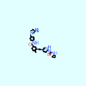 Cc1ccc(C(=O)Nc2ccc(CN3CCC(N(C)C)C3)cc2)cc1C#Cc1ccc(NC(=O)NC2CCC2)nc1